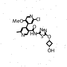 COc1cnc(Cl)cc1-c1cc(C)ncc1C(=O)Nc1nnc(O[C@H]2C[C@@H](O)C2)s1